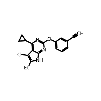 C#Cc1cccc(Oc2nc(C3CC3)c3c(Cl)c(CC)[nH]c3n2)c1